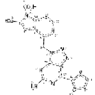 CC(C)(C)c1cc2c(Cn3nnc4c(-c5ccco5)nc(N)nc43)cccc2n1C(=O)O